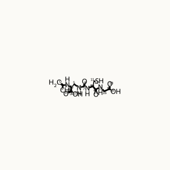 C=C(C)N[C@@H](CNC(=O)N[C@@H](CS)C(=O)NCC(=O)O)C(=O)O